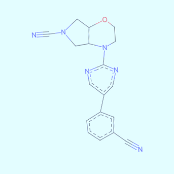 N#Cc1cccc(-c2cnc(N3CCOC4CN(C#N)CC43)nc2)c1